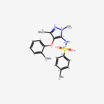 COc1ccccc1Oc1c(OC)nn(C)c1NS(=O)(=O)c1ccc(C(C)(C)C)cc1